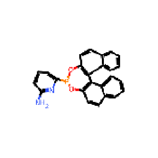 Nc1cccc(-p2oc3ccc4ccccc4c3c3c(ccc4ccccc43)o2)n1